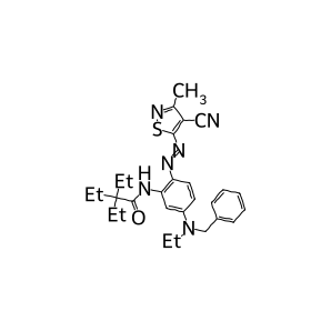 CCN(Cc1ccccc1)c1ccc(N=Nc2snc(C)c2C#N)c(NC(=O)C(CC)(CC)CC)c1